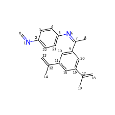 C=Nc1ccc(N=C(C)c2cc(C(=C)C)cc(C(=C)C)c2)cc1